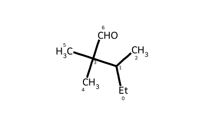 CCC(C)C(C)(C)C=O